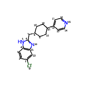 Clc1ccc2[nH]c(CC3CCC(c4ccncc4)CC3)nc2c1